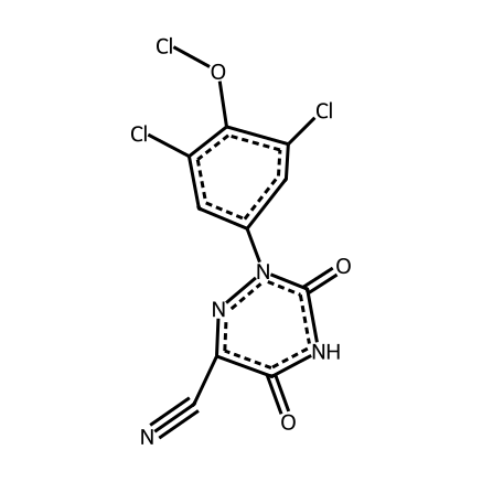 N#Cc1nn(-c2cc(Cl)c(OCl)c(Cl)c2)c(=O)[nH]c1=O